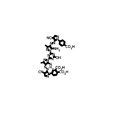 [C-]#[N+]c1cnn(-c2ccc(C(=O)O)c(C(=O)O)c2)c1N=Nc1c(C)nn(-c2nc(O)nc(-n3nc(C)c(N=Nc4c(C#N)cnn4-c4ccc(C(=O)O)cc4)c3N)n2)c1N